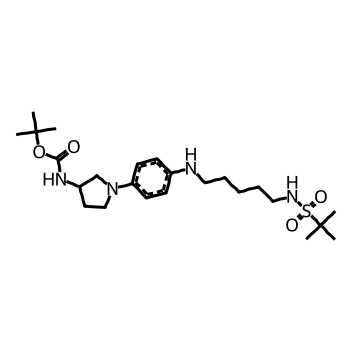 CC(C)(C)OC(=O)NC1CCN(c2ccc(NCCCCCNS(=O)(=O)C(C)(C)C)cc2)C1